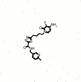 Cc1ccc(CNC(=O)c2nnc(CCCCn3ccc(N)c(F)c3=O)s2)cn1